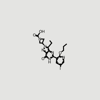 CCCOc1ncc(I)cc1-c1nc2c(CC)n(C3CN(C(=O)O)C3)nc2c(=O)[nH]1